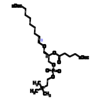 CCCCCCCCCCCCCCCC/C=C/OC[C@H](COP(=O)([O-])OCC[N+](C)(C)C)OC(=O)CCCCCCCCCCCCC